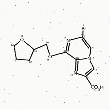 O=C(O)c1cn2cc(Br)nc(OCC3CCCO3)c2n1